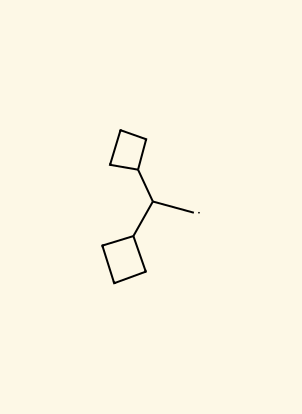 [CH2]C(C1CCC1)C1CCC1